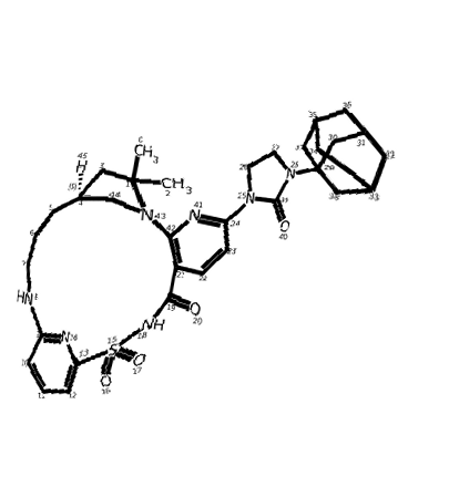 CC1(C)C[C@@H]2CCCNc3cccc(n3)S(=O)(=O)NC(=O)c3ccc(N4CCN(C56CC7CC(CC(C7)C5)C6)C4=O)nc3N1C2